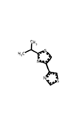 CC(C)c1nc(-c2cscn2)cs1